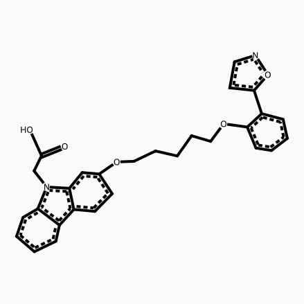 O=C(O)Cn1c2ccccc2c2ccc(OCCCCCOc3ccccc3-c3ccno3)cc21